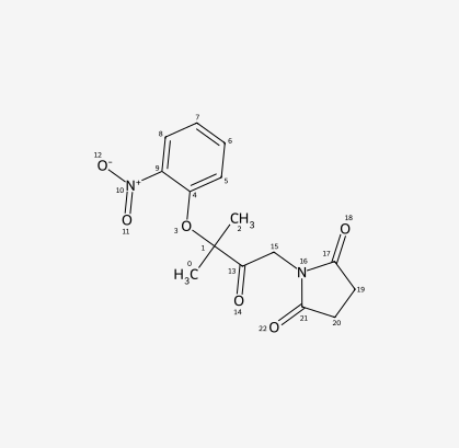 CC(C)(Oc1ccccc1[N+](=O)[O-])C(=O)CN1C(=O)CCC1=O